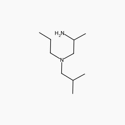 CCCN(CC(C)C)CC(C)N